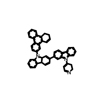 C1=Cc2c(c3ccccc3c3ccc(N4c5ccccc5C5C=CC(c6ccc7c8ccccc8n(C8=CC=NCC8)c7c6)=CC54)cc23)CC1